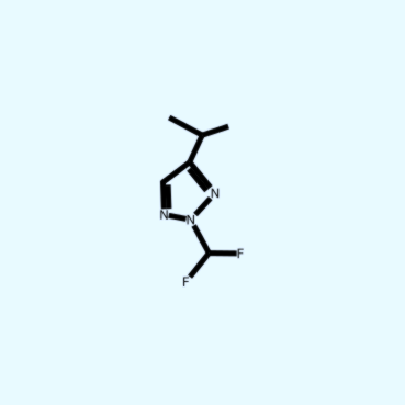 CC(C)c1cnn(C(F)F)n1